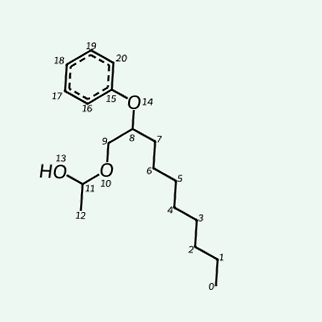 CCCCCCCCC(COC(C)O)Oc1ccccc1